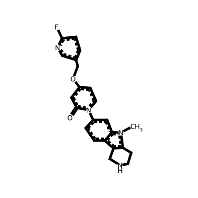 Cn1c2c(c3ccc(-n4ccc(OCc5ccc(F)nc5)cc4=O)cc31)CNCC2